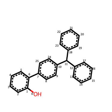 Oc1ccccc1-c1ccc(C(c2ccccc2)c2ccccc2)cc1